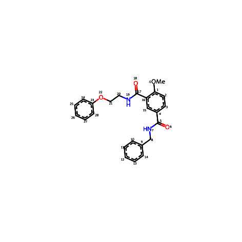 COc1ccc(C(=O)NCc2ccccc2)cc1C(=O)NCCOc1ccccc1